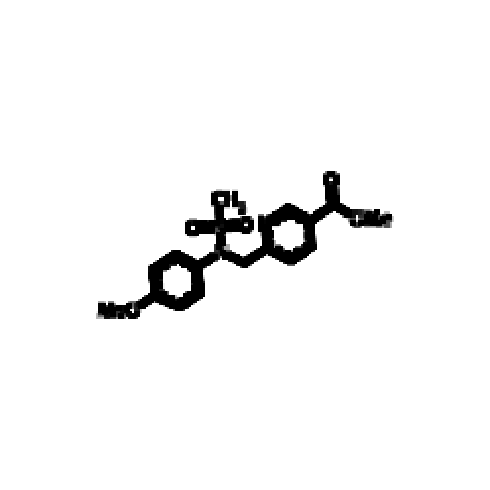 COC(=O)c1ccc(CN(c2ccc(OC)cc2)S(C)(=O)=O)nc1